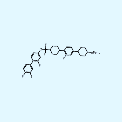 CCCCCC1CCC(c2ccc(C3CCC(C(F)(F)Oc4ccc(-c5ccc(F)c(F)c5)c(F)c4)CC3)c(F)c2)CC1